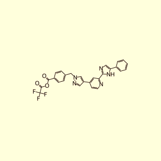 O=C(OC(=O)C(F)(F)F)c1ccc(Cn2cc(-c3ccnc(-c4ncc(-c5ccccc5)[nH]4)c3)cn2)cc1